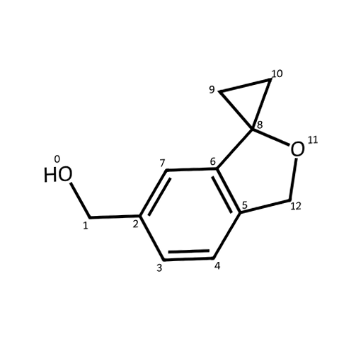 OCc1ccc2c(c1)C1(CC1)OC2